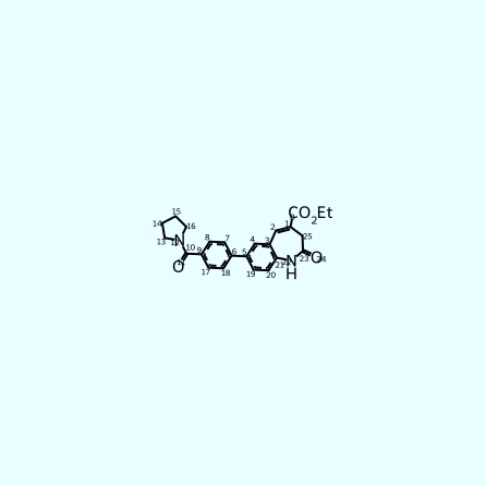 CCOC(=O)C1=Cc2cc(-c3ccc(C(=O)N4CCCC4)cc3)ccc2NC(=O)C1